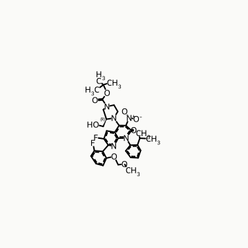 COCOc1cccc(F)c1-c1nc2c(cc1F)c(N1CCN(C(=O)OC(C)(C)C)C[C@@H]1CO)c([N+](=O)[O-])c(=O)n2-c1ccccc1C(C)C